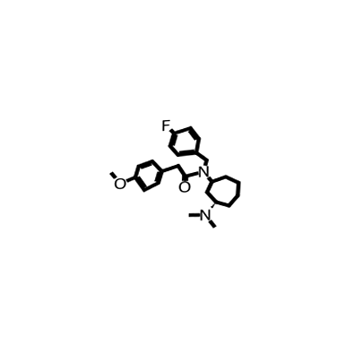 COc1ccc(CC(=O)N(Cc2ccc(F)cc2)C2CCCC[C@H](N(C)C)C2)cc1